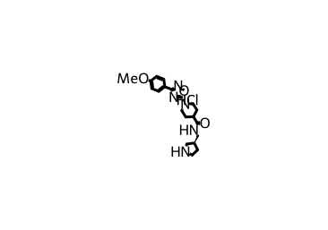 COc1ccc(-c2noc(N3CCC(C(=O)NC[C@H]4CCNC4)CC3)n2)cc1.Cl